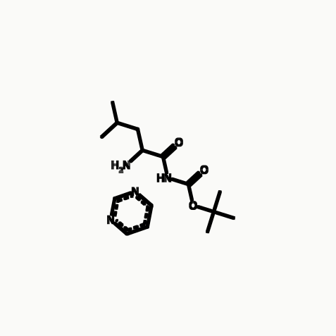 CC(C)CC(N)C(=O)NC(=O)OC(C)(C)C.c1cncnc1